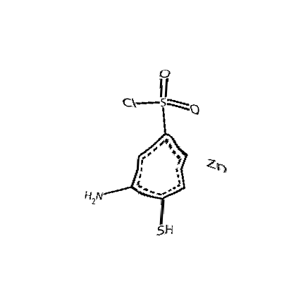 Nc1cc(S(=O)(=O)Cl)ccc1S.[Zn]